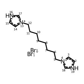 [Br-].[Br-].c1c[n+](CCCCCCCC[n+]2cc[nH]c2)c[nH]1